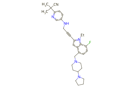 CCn1c(C#CCNc2ccc(C(C)(C)C#N)nc2)cc2c(CN3CCC(N4CCCC4)CC3)ccc(F)c21